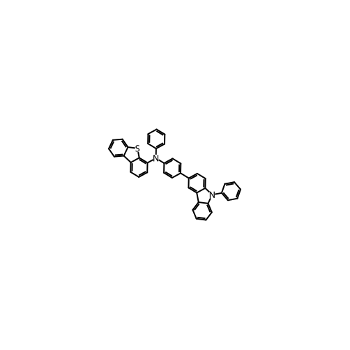 c1ccc(N(c2ccc(-c3ccc4c(c3)c3ccccc3n4-c3ccccc3)cc2)c2cccc3c2sc2ccccc23)cc1